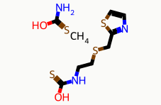 C.NC(O)=S.OC(=S)NCCSCc1nccs1